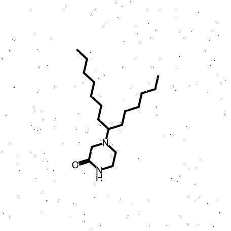 CCCCCCCC(CCCCCC)N1CCNC(=O)C1